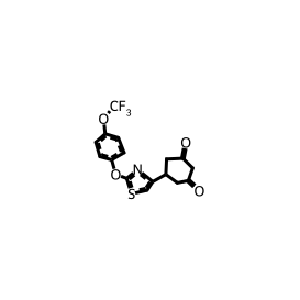 O=C1CC(=O)CC(c2csc(Oc3ccc(OC(F)(F)F)cc3)n2)C1